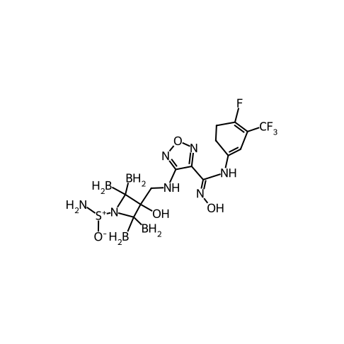 BC1(B)N([S+](N)[O-])C(B)(B)C1(O)CNc1nonc1/C(=N/O)NC1=CC(C(F)(F)F)=C(F)CC1